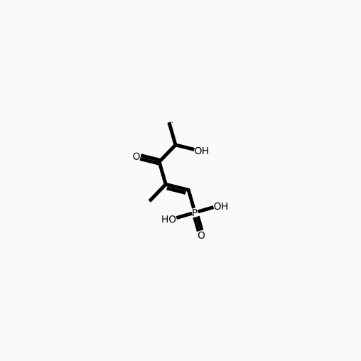 [CH2]C(O)C(=O)C(C)=CP(=O)(O)O